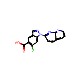 O=C(O)c1cc2cnn(-c3ccc4cccnc4n3)c2cc1Cl